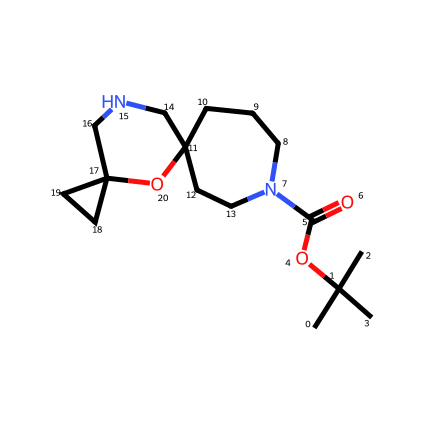 CC(C)(C)OC(=O)N1CCCC2(CC1)CNCC1(CC1)O2